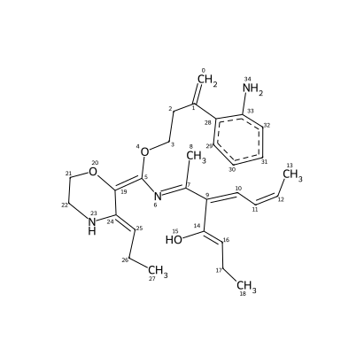 C=C(CCOC(/N=C(C)/C(=C/C=C\C)C(/O)=C/CC)=C1\OCCN\C1=C/CC)c1ccccc1N